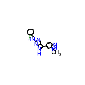 Cn1nnc2ccc(-c3c[nH]c4nc(NCC5(F)CCCCC5)ncc34)cc21